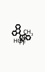 Cc1c2n(c3ccccc13)C(O)(C(F)(F)F)C=C2c1cc2ccccc2c2ccccc12